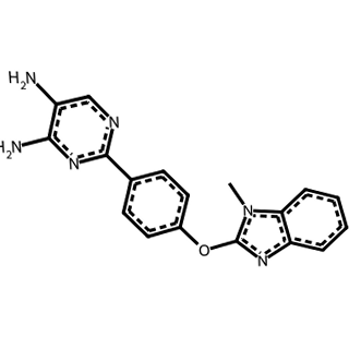 Cn1c(Oc2ccc(-c3ncc(N)c(N)n3)cc2)nc2ccccc21